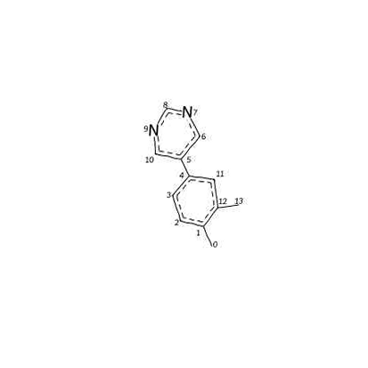 Cc1ccc(-c2cncnc2)cc1C